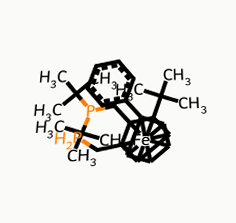 CC(C)(C)P(C[C]12[C]3(CP)[CH]4[CH]5[C]1(C(C)(C)C)[Fe]45321678[CH]2[CH]1[CH]6[C]7(c1ccccc1)[CH]28)C(C)(C)C